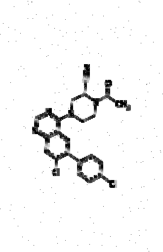 CC(=O)N1CCN(c2ncnc3cc(Cl)c(-c4ccc(Cl)cc4)cc23)CC1C#N